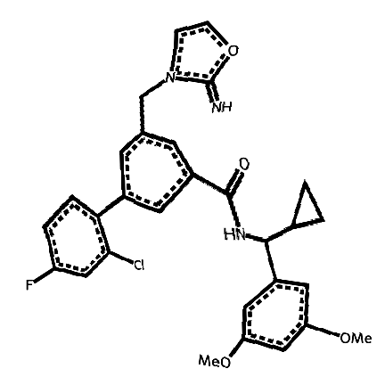 COc1cc(OC)cc(C(NC(=O)c2cc(Cn3ccoc3=N)cc(-c3ccc(F)cc3Cl)c2)C2CC2)c1